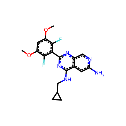 COc1cc(OC)c(F)c(-c2nc(NCC3CC3)c3cc(N)ncc3n2)c1F